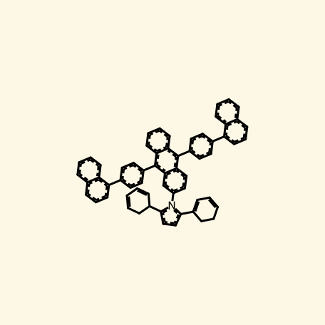 C1=CCCC(c2ccc(C3C=CC=CC3)n2-c2ccc3c(-c4ccc(-c5cccc6ccccc56)cc4)c4ccccc4c(-c4ccc(-c5cccc6ccccc56)cc4)c3c2)=C1